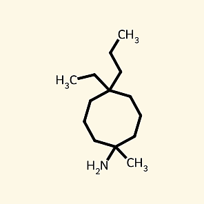 CCCC1(CC)CCCC(C)(N)CCC1